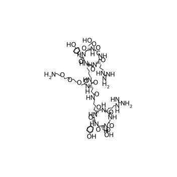 N=C(N)NCCC[C@@H]1NC(=O)[C@H](CCCCNC(=O)CC[C@H](NC(=O)COCCOCCOCCN)C(=O)NCCCC[C@@H]2NC(=O)[C@@H](Cc3ccc(O)cc3)NC(=O)[C@H](CC(=O)O)NC(=O)CNC(=O)[C@H](CCCNC(=N)N)NC2=O)NC(=O)[C@@H](Cc2ccc(O)cc2)NC(=O)[C@H](CC(=O)O)NC(=O)CNC1=O